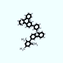 Cc1cc(C)c(-c2ccc3c(c2)c2ccccc2n3-c2cccc(-c3ccc4c(c3)c3ccccc3c3nccnc43)c2)c(C)c1